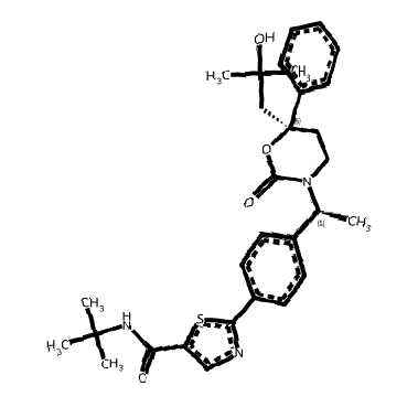 C[C@@H](c1ccc(-c2ncc(C(=O)NC(C)(C)C)s2)cc1)N1CC[C@](CC(C)(C)O)(c2ccccc2)OC1=O